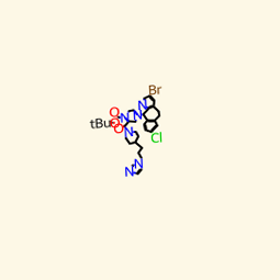 CC(C)(C)OC(=O)N1CCN(C2c3ccc(Cl)cc3CCc3cc(Br)cnc32)CC1C(=O)N1CCC(CCCn2ccnc2)CC1